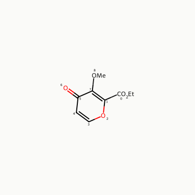 CCOC(=O)c1occc(=O)c1OC